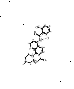 CN1CCN(c2c(C(N)=O)cnc3c(NC(=O)c4c(Cl)cccc4Cl)cccc23)CC1